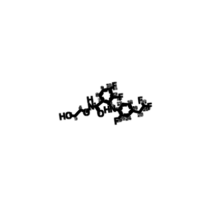 O=C(NOCCO)c1ccc(F)c(F)c1Nc1ccc(CC(F)F)cc1F